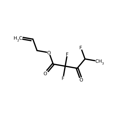 C=CCOC(=O)C(F)(F)C(=O)C(C)F